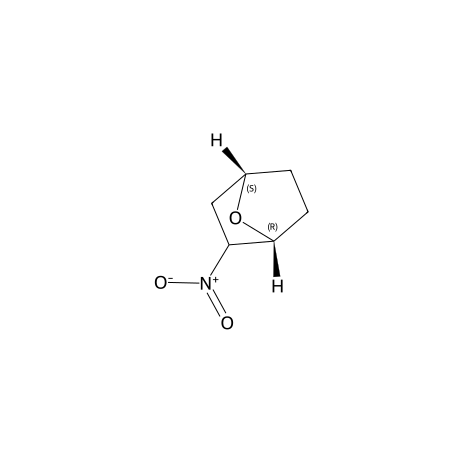 O=[N+]([O-])C1C[C@@H]2CC[C@H]1O2